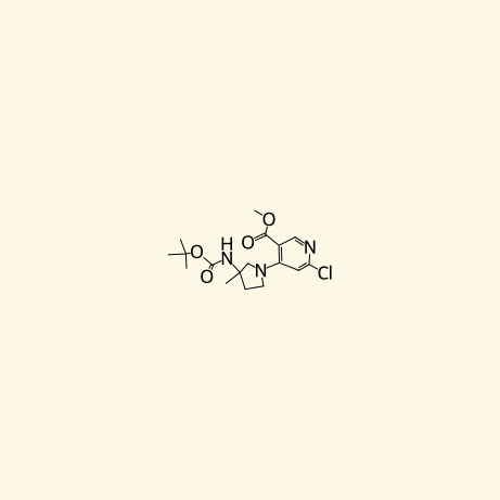 COC(=O)c1cnc(Cl)cc1N1CCC(C)(NC(=O)OC(C)(C)C)C1